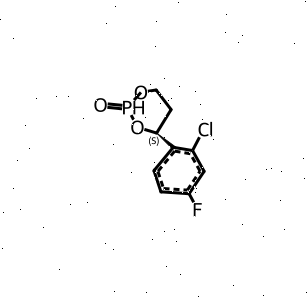 O=[PH]1OCC[C@@H](c2ccc(F)cc2Cl)O1